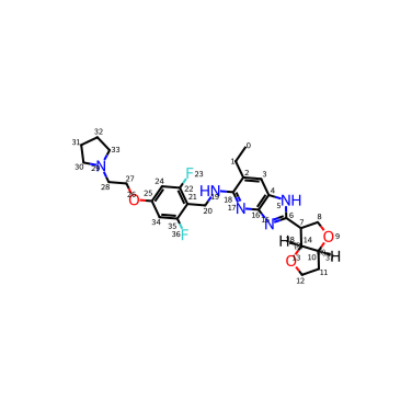 CCc1cc2[nH]c(C3CO[C@@H]4CCO[C@H]34)nc2nc1NCc1c(F)cc(OCCN2CCCC2)cc1F